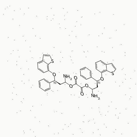 NC(C[C@H](Oc1cccc2ccsc12)c1ccccc1)OC(=O)C(=O)OC(N)C[C@H](Oc1cccc2ccsc12)c1ccccc1